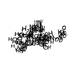 CN[C@H](CC(C)C)C(=O)NC1C(=O)NC(CC(N)=O)C(=O)N[C@H]2C(=O)N[C@H]3C(=O)N[C@H](C(=O)N[C@@H](O)c4cc(O)cc(O)c4-c4cc3ccc4O)[C@H](O[C@H]3C[C@](C)(N)[C@@H](O)[C@H](C)O3)c3ccc(c(Cl)c3)Oc3cc2cc(c3O[C@@H]2O[C@H](CO)[C@@H](O[C@@H]3O[C@H](CNCc4cccc(NC(=O)c5ccc(C)c(OCc6ccccc6)c5[N+](=O)[O-])c4)[C@H](O)[C@H](O)[C@H]3O)[C@H](O)[C@H]2O)Oc2ccc(cc2Cl)[C@H]1O